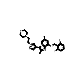 Cc1cc(OCc2c(F)cccc2F)c2nc(C)c(-c3cnn(CCN4CCOCC4)c3)n2c1